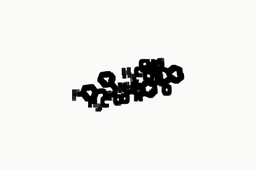 CN(Cc1ccc(F)cc1)C(=O)[C@@H](NC(=O)c1nc2ccc(NC(=O)c3ccccc3-c3nc(C(C)(C)C)cs3)cc2s1)c1ccccc1